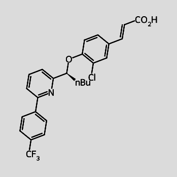 CCCC[C@H](Oc1ccc(/C=C/C(=O)O)cc1Cl)c1cccc(-c2ccc(C(F)(F)F)cc2)n1